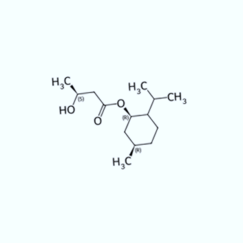 CC(C)C1CC[C@@H](C)C[C@H]1OC(=O)C[C@H](C)O